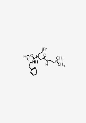 CC(C)CCN(CC(=O)NCCN(C)C)C(=O)N[C@@H](CO)Cc1ccccc1